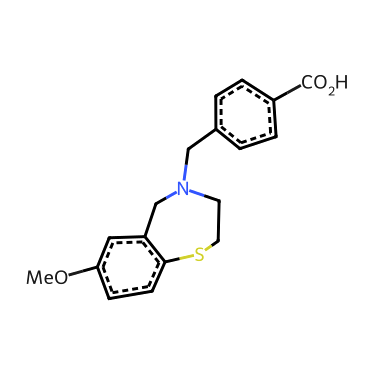 COc1ccc2c(c1)CN(Cc1ccc(C(=O)O)cc1)CCS2